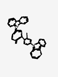 Cc1cc(-n2c3ccccc3c3ccccc32)ccc1-c1cc(-n2c3ccccc3c3ccccc32)ccc1C